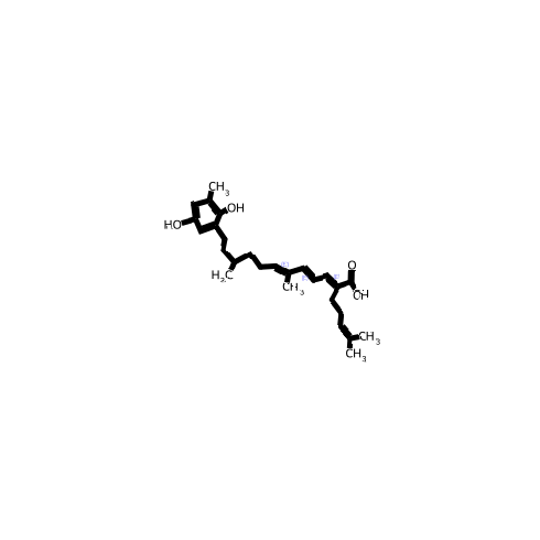 CC(C)=CCC\C(=C/C=C/C(C)=C/CCC(C)CCc1cc(O)cc(C)c1O)C(=O)O